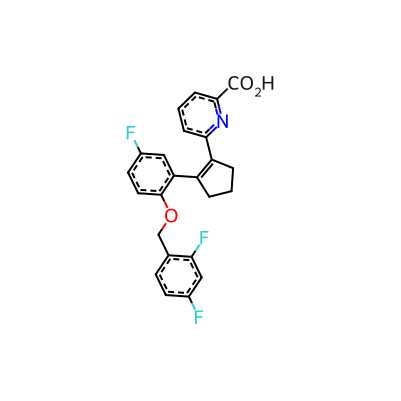 O=C(O)c1cccc(C2=C(c3cc(F)ccc3OCc3ccc(F)cc3F)CCC2)n1